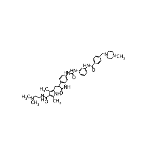 Cc1[nH]c(C=C2C(=O)Nc3cc(NC(=O)Nc4cccc(NC(=O)c5ccc(CN6CCN(C)CC6)cc5)c4)ccc32)c(C)c1C(=O)NCCN(C)C